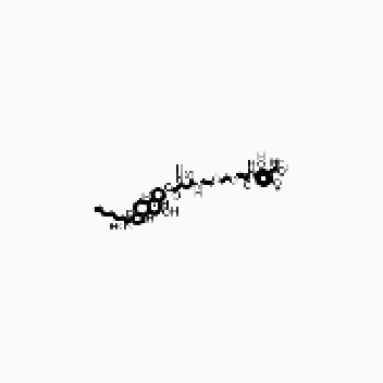 CCCCCC[C@](C)(O)[C@@]1(I)CCC2[C@@H]3C[C@H](O)[C@H]4C[C@@H](OC(=O)[C@@H](N)CC(=O)NCCOCCOCC(=O)Nc5ccc(OC)c(C(N)=O)c5O)CC[C@]4(C)[C@H]3CC[C@@]21C